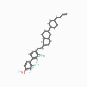 C=CCCC1CCC(C2CCC3CC(CCc4ccc(-c5ccc(OCC)c(F)c5F)c(F)c4F)CCC3C2)CC1